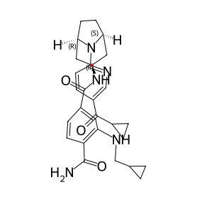 NC(=O)c1ccc(C(=O)N[C@H]2C[C@H]3CC[C@@H](C2)N3c2ccc(C(=O)C3CC3)cn2)cc1NCC1CC1